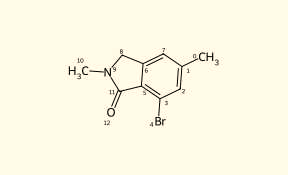 Cc1cc(Br)c2c(c1)CN(C)C2=O